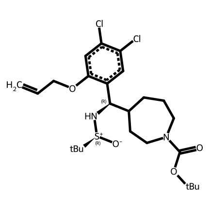 C=CCOc1cc(Cl)c(Cl)cc1[C@H](N[S@@+]([O-])C(C)(C)C)C1CCCN(C(=O)OC(C)(C)C)CC1